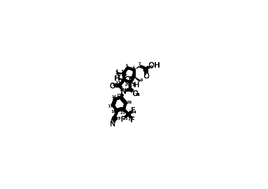 C[C@@]12O[C@@](C)(C[C@@H]1CC(=O)O)[C@@H]1C(=O)N(c3ccc(C#N)c(C(F)(F)F)c3)C(=O)[C@@H]12